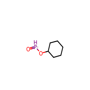 O=[PH]OC1CCCCC1